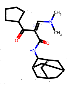 CN(C)/C=C(\C(=O)NC1C2CC3CC(C2)CC1C3)C(=O)C1CCCC1